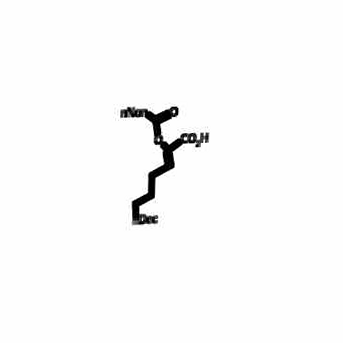 CCCCCCCCCCCCCC=C(OC(=O)CCCCCCCCC)C(=O)O